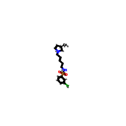 C[C@H]1CCN(CCCCCNS(=O)(=O)c2cccc(Br)c2)C1